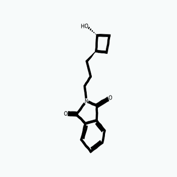 O=C1c2ccccc2C(=O)N1CCC[C@@H]1CC[C@H]1O